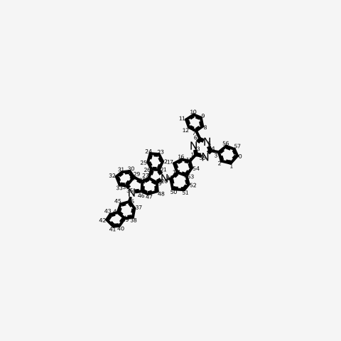 c1ccc(-c2nc(-c3ccccc3)nc(-c3ccc4c(-n5c6ccccc6c6c7c8ccccc8n(-c8ccc9ccccc9c8)c7ccc65)cccc4c3)n2)cc1